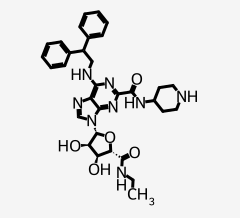 CCNC(=O)[C@H]1O[C@@H](n2cnc3c(NCC(c4ccccc4)c4ccccc4)nc(C(=O)NC4CCNCC4)nc32)[C@H](O)[C@@H]1O